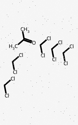 CC(C)=O.ClCCl.ClCCl.ClCCl.ClCCl.ClCCl